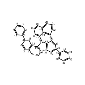 Cc1ccc(-c2ccccc2)cc1-c1n(-c2cccc3ccccc23)c2ccc(-c3ccccc3)cc2[n+]1C